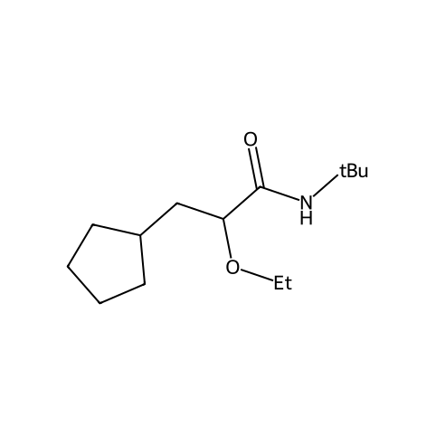 CCOC(CC1CCCC1)C(=O)NC(C)(C)C